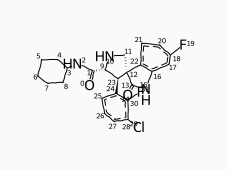 O=C(NC1CCCCC1)[C@@H]1NC[C@]2(C(=O)Nc3cc(F)ccc32)[C@H]1c1cccc(Cl)c1F